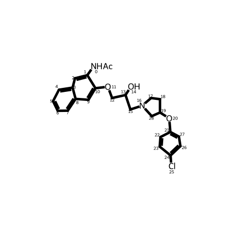 CC(=O)Nc1cc2ccccc2cc1OCC(O)CN1CCC(Oc2ccc(Cl)cc2)C1